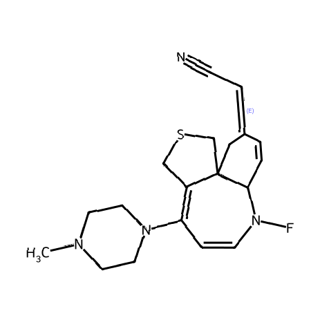 CN1CCN(C2=C3CSCC34C/C(=C\C#N)C=CC4N(F)C=C2)CC1